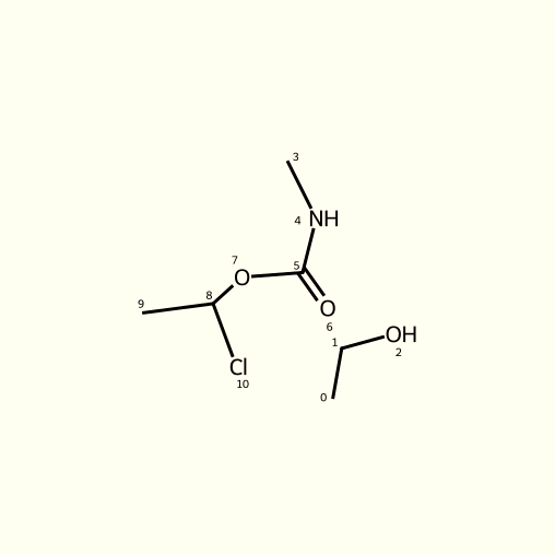 CCO.CNC(=O)OC(C)Cl